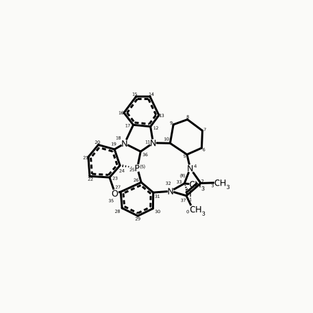 CC1=C(C)N2C3CCCCC3N3c4ccccc4N4c5cccc6c5[P@@](c5c(cccc5N1[C@@H]2C)O6)C43